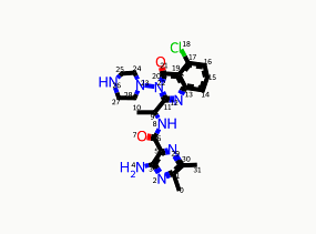 Cc1nc(N)c(C(=O)NC(C)c2nc3cccc(Cl)c3c(=O)n2N2CCNCC2)nc1C